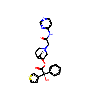 O=C(C[N+]12CCC(CC1)C(OC(=O)[C@@](O)(c1ccccc1)c1ccsc1)C2)Nc1ccncn1